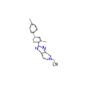 Cc1ccc(-c2ccc(-c3nc4ccn(CC#N)cc-4n3)c(C)c2)cc1